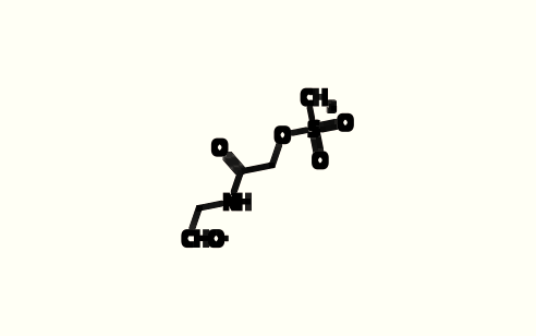 CS(=O)(=O)OCC(=O)NC[C]=O